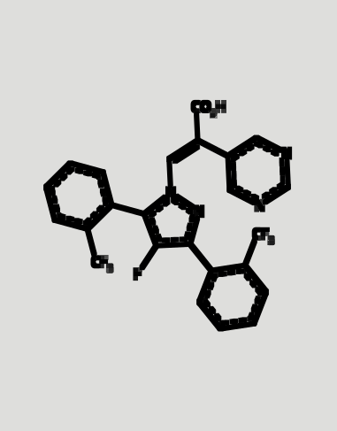 O=C(O)/C(=C/n1nc(-c2ccccc2C(F)(F)F)c(F)c1-c1ccccc1C(F)(F)F)c1cncnc1